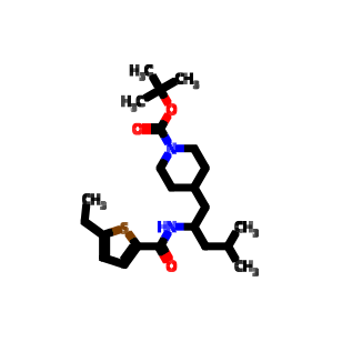 CCc1ccc(C(=O)NC(CC(C)C)CC2CCN(C(=O)OC(C)(C)C)CC2)s1